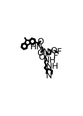 CC1c2ccccc2-c2cc(C(=O)NCC(=O)N3C[C@H](OC(F)F)C[C@H]3C(=O)NCc3cc4cnccc4[nH]3)ccc21